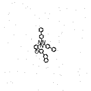 c1ccc(-c2ccc(-c3nc(-c4ccc(-c5ccccc5)cc4)nc(-c4cccc5oc6cc(-c7ccc8ccccc8c7)ccc6c45)n3)cc2)cc1